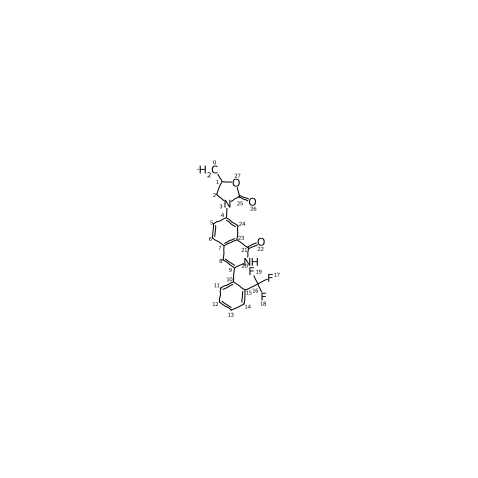 [CH2]C1CN(c2ccc3cc(-c4ccccc4C(F)(F)F)[nH]c(=O)c3c2)C(=O)O1